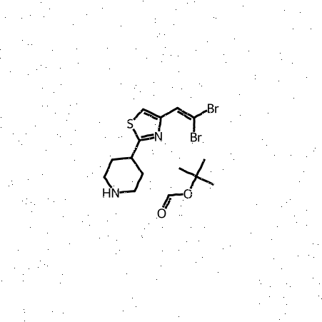 BrC(Br)=Cc1csc(C2CCNCC2)n1.CC(C)(C)OC=O